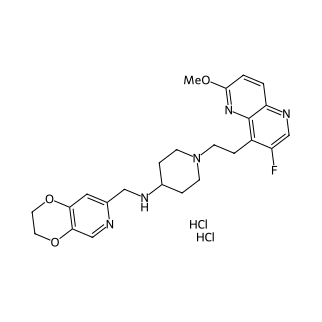 COc1ccc2ncc(F)c(CCN3CCC(NCc4cc5c(cn4)OCCO5)CC3)c2n1.Cl.Cl